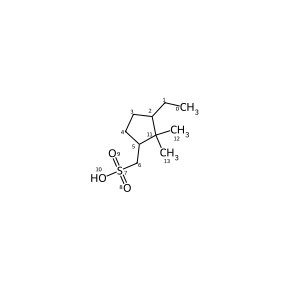 CCC1CCC(CS(=O)(=O)O)C1(C)C